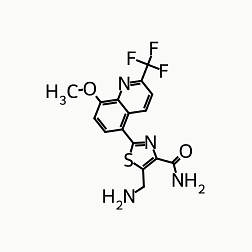 COc1ccc(-c2nc(C(N)=O)c(CN)s2)c2ccc(C(F)(F)F)nc12